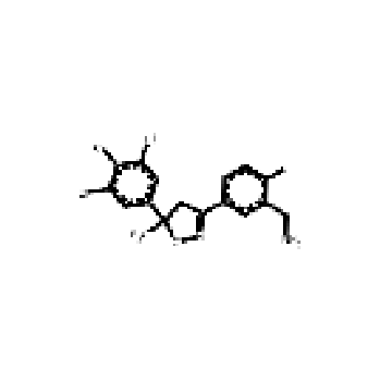 NCc1cc(C2=NOC(c3cc(Cl)c(Cl)c(Cl)c3)(C(F)(F)F)C2)ccc1F